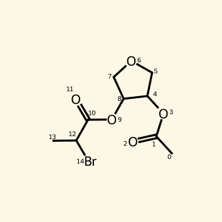 CC(=O)OC1COCC1OC(=O)C(C)Br